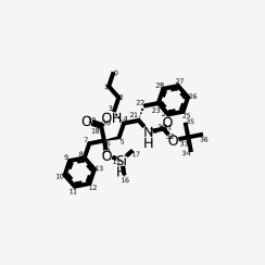 CCCC[C@@H](C[C@](Cc1ccccc1)(O[SiH](C)C)C(=O)O)[C@H](Cc1ccccc1)NC(=O)OC(C)(C)C